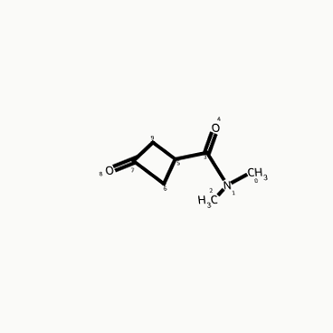 CN(C)C(=O)C1CC(=O)C1